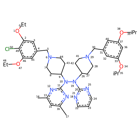 CCOc1cc(CN2CCC(N(c3nc(C)cc(C)n3)N(c3ncccn3)C3CCN(Cc4cc(OC(C)C)cc(OC(C)C)c4)CC3)CC2)cc(OCC)c1Cl